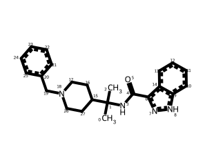 CC(C)(NC(=O)c1n[nH]c2ccccc12)C1CCN(Cc2ccccc2)CC1